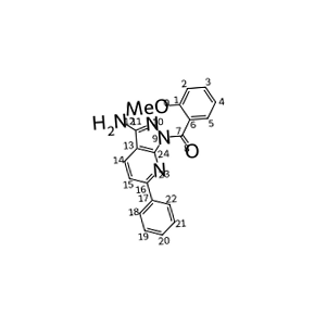 COc1ccccc1C(=O)n1nc(N)c2ccc(-c3ccccc3)nc21